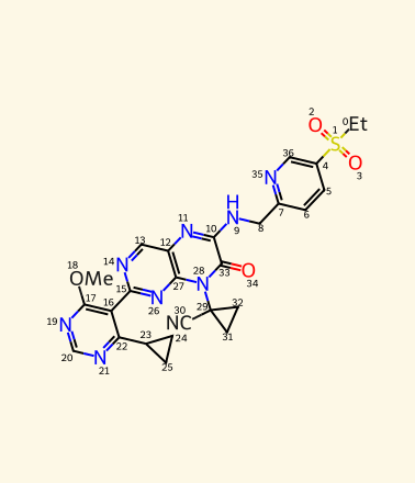 CCS(=O)(=O)c1ccc(CNc2nc3cnc(-c4c(OC)ncnc4C4CC4)nc3n(C3(C#N)CC3)c2=O)nc1